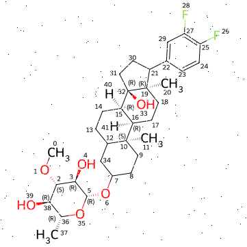 CO[C@@H]1[C@@H](O)[C@H](OC2CC[C@@]3(C)C(CC[C@@H]4[C@H]3CC[C@]3(C)C(c5ccc(F)c(F)c5)CC[C@@]43O)C2)O[C@H](C)[C@H]1O